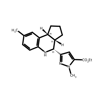 CCOC(=O)c1cc([C@@H]2Nc3ccc(C)cc3[C@@H]3CCC[C@@H]32)nn1C